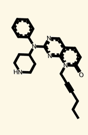 CCCC#CCn1c(=O)ccc2cnc(N(c3ccccc3)C3CCNCC3)nc21